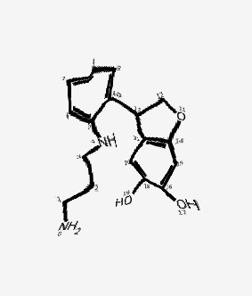 NCCCNc1ccccc1C1COc2cc(O)c(O)cc21